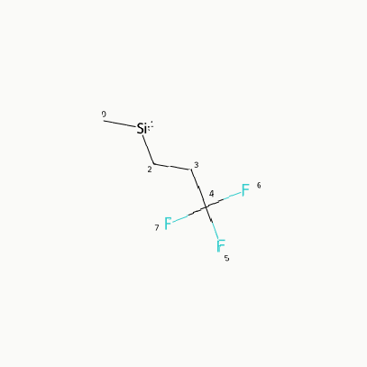 C[Si]CCC(F)(F)F